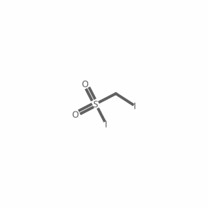 O=S(=O)(I)CI